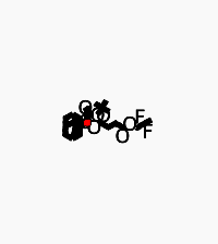 CC(F)(F)COC(=O)CCC(=O)OCC12CC3CC(C1)C(OC(=O)OC(C)(C)C)C(C3)C2